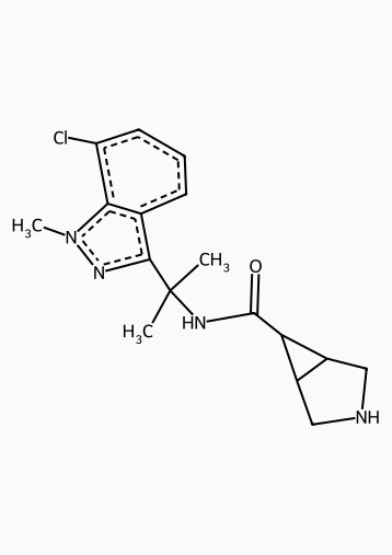 Cn1nc(C(C)(C)NC(=O)C2C3CNCC32)c2cccc(Cl)c21